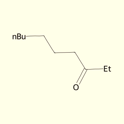 CCCCCCCC(=O)CC